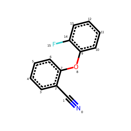 N#Cc1ccccc1Oc1ccccc1F